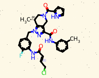 Cc1cccc(NC(=O)c2nn(Cc3ccc(F)c(NC(=O)/C=C/CCl)c3)c3c2CN(C(=O)c2ccc[nH]2)C[C@H]3C)c1